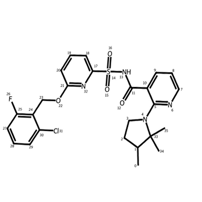 CC1CCN(c2ncccc2C(=O)NS(=O)(=O)c2cccc(OCc3c(F)cccc3Cl)n2)C1(C)C